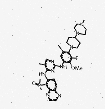 COc1c(Nc2ncc(C)c(Nc3ccc4nccnc4c3P(C)(C)=O)n2)cc(C)c(N2CCC(N3CCN(C)CC3)CC2)c1F